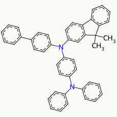 CC1(C)c2ccccc2-c2ccc(N(c3ccc(-c4ccccc4)cc3)c3ccc(N(c4ccccc4)c4ccccc4)cc3)cc21